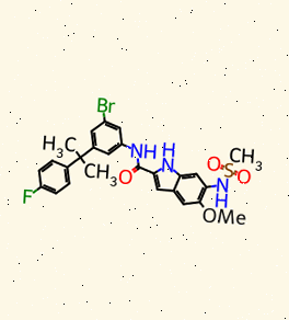 COc1cc2cc(C(=O)Nc3cc(Br)cc(C(C)(C)c4ccc(F)cc4)c3)[nH]c2cc1NS(C)(=O)=O